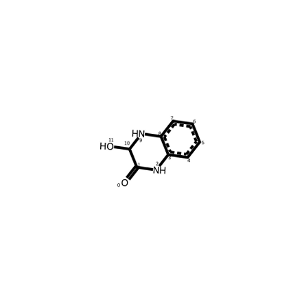 O=C1Nc2ccccc2NC1O